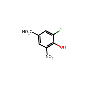 O=C(O)c1cc(F)c(O)c([N+](=O)[O-])c1